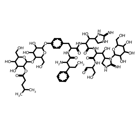 CCC(c1ccccc1)C(N)C(=O)NC(Cc1ccc(OC2OC(CO)C(OC3OC(CO)C(O)C(O)C3OC(=O)CCC(C)C)C(O)C2O)cc1)C(=O)NC(C(=O)NC(C(=O)NC([C]=O)CO)C(O)C1CNC(=N)N1C1OC(CO)C(O)C(O)C1O)C(O)C1CNC(=N)N1